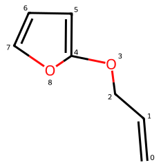 C=CCOc1ccco1